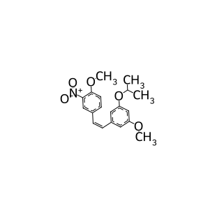 COc1cc(/C=C\c2ccc(OC)c([N+](=O)[O-])c2)cc(OC(C)C)c1